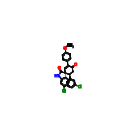 COc1ccc(C2=C[C@]3(C(=O)Nc4cc(Cl)ccc43)[C@H](c3cccc(Cl)c3)CC2=O)cc1